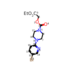 CCOC(=O)COC(=O)N1CCN(c2ccc(Br)cn2)CC1